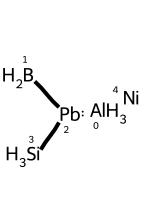 [AlH3].[BH2][Pb][SiH3].[Ni]